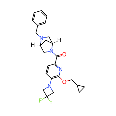 O=C(c1ccc(N2CC(F)(F)C2)c(OCC2CC2)n1)N1C[C@@H]2C[C@H]1CN2Cc1ccccc1